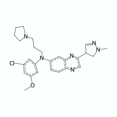 COc1cc(Cl)cc(N(CCCN2CCCC2)c2ccc3ncc(C4C=NN(C)C4)nc3c2)c1